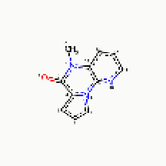 Cn1c(=O)c2cccn2c2ncccc21